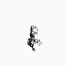 CCOCC(O)Cn1cc(-c2cnc(-n3ncc4cc(C#N)cnc43)cc2NC(C)C)nn1